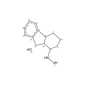 CCCNC1CCCC2c3ccccc3CC12.Cl